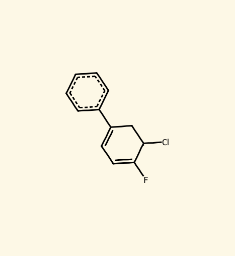 FC1=CC=C(c2ccccc2)C[C]1Cl